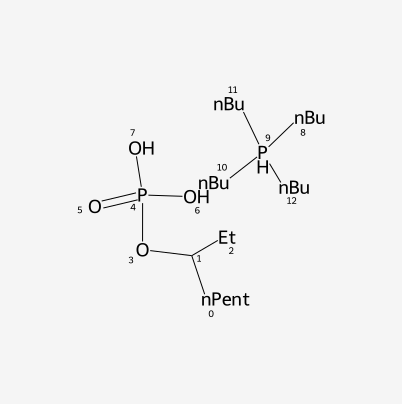 CCCCCC(CC)OP(=O)(O)O.CCCC[PH](CCCC)(CCCC)CCCC